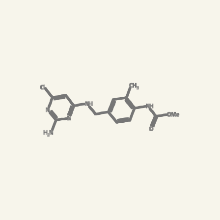 COC(=O)Nc1ccc(CNc2cc(Cl)nc(N)n2)cc1C